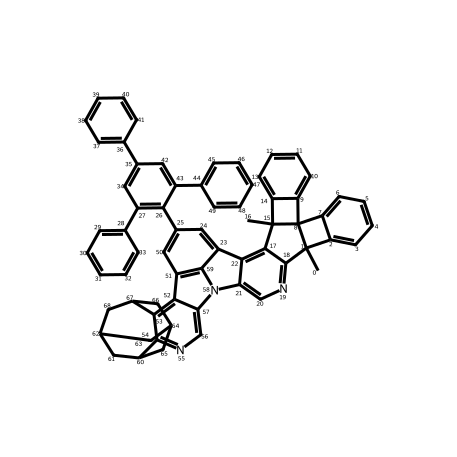 CC12c3ccccc3C13c1ccccc1C3(C)c1c2ncc2c1c1cc(-c3c(-c4ccccc4)cc(-c4ccccc4)cc3-c3ccccc3)cc3c4c5c(ncc4n2c31)C1CC2CC(C1)CC5C2